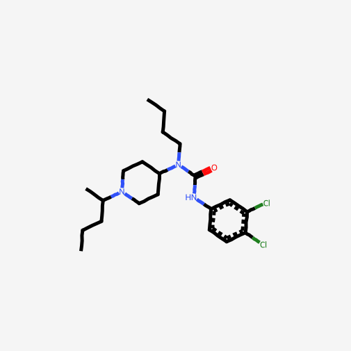 CCCCN(C(=O)Nc1ccc(Cl)c(Cl)c1)C1CCN(C(C)CCC)CC1